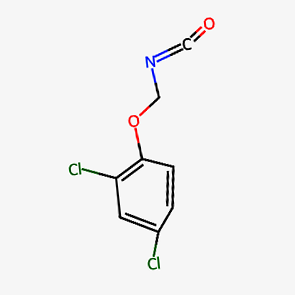 O=C=NCOc1ccc(Cl)cc1Cl